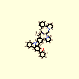 CCC1(CC)/C2=C/C(C[n+]3ccccc3-c3ccccc3C2)[n+]2ccccc2-c2cc3c4c5oc6ccccc6c5cc5c6ccccc6n(c3cc21)c54